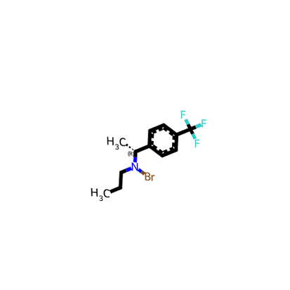 CCCN(Br)[C@H](C)c1ccc(C(F)(F)F)cc1